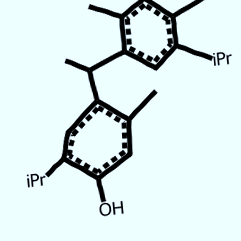 Cc1cc(O)c(C(C)C)cc1C(C)c1cc(C(C)C)c(O)cc1C